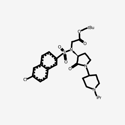 CC(C)N1CCC(N2CC[C@H](N(CC(=O)OC(C)(C)C)S(=O)(=O)c3ccc4cc(Cl)ccc4c3)C2=O)CC1